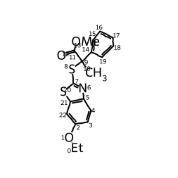 CCOc1ccc2nc(SC(C)(C(=O)OC)c3ccccc3)sc2c1